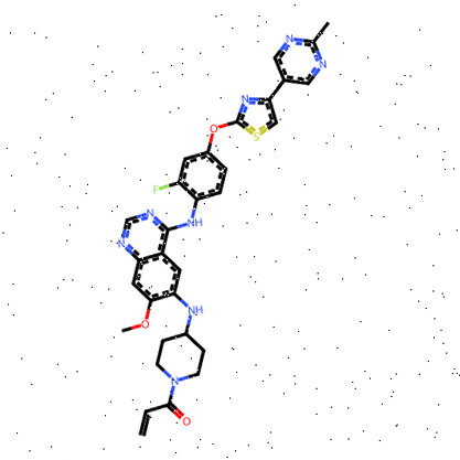 C=CC(=O)N1CCC(Nc2cc3c(Nc4ccc(Oc5nc(-c6cnc(C)nc6)cs5)cc4F)ncnc3cc2OC)CC1